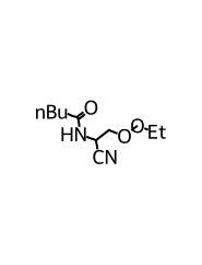 CCCCC(=O)NC(C#N)COOCC